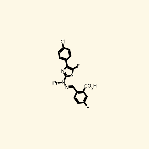 CC(C)N(/N=C/c1ccc(F)cc1C(=O)O)c1nc(-c2ccc(Cl)cc2)c(F)s1